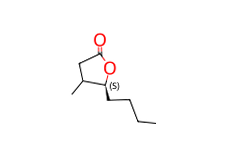 CCCC[C@@H]1OC(=O)CC1C